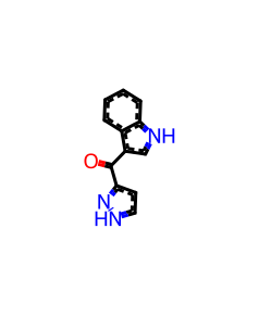 O=C(c1cc[nH]n1)c1c[nH]c2ccccc12